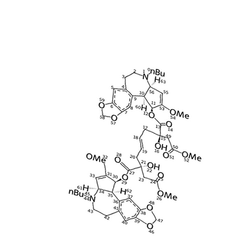 CCCCN1CCc2cc3c(cc2[C@@H]2[C@H](OC(=O)[C@@](O)(C/C=C/C[C@@](O)(CC(=O)OC)C(=O)O[C@@H]4C(OC)=C[C@H]5[C@@H]4c4cc6c(cc4CCN5CCCC)OCO6)CC(=O)OC)C(OC)=C[C@@H]21)OCO3